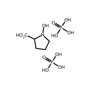 O=C(O)C1CCCN1O.O=P(O)(O)O.O=P(O)(O)O